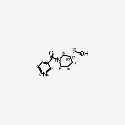 O=C(c1cccnc1)N1CCC[C@@H](CO)C1